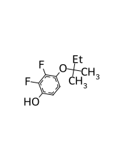 CCC(C)(C)Oc1ccc(O)c(F)c1F